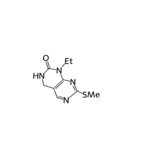 CCN1C(=O)NCc2cnc(SC)nc21